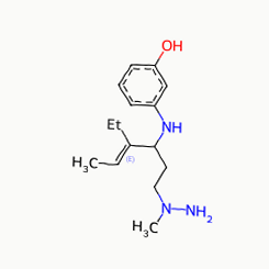 C/C=C(\CC)C(CCN(C)N)Nc1cccc(O)c1